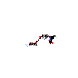 C=C/C(=C\C=C(/C)SSC(C)(C)CNC(=O)CCOCCOCCOCCC(C)(C)OCCOC(C)(C)CCN)COC(=O)N[C@H]1CCc2c(C)c(F)cc3nc4c(c1c23)Cn1c-4cc2c(c1=O)COC(=O)[C@]2(O)CC